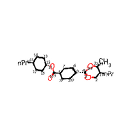 CCCC1COC([C@H]2CC[C@H](C(=O)O[C@H]3CC[C@H](CCC)CC3)CC2)OC1C